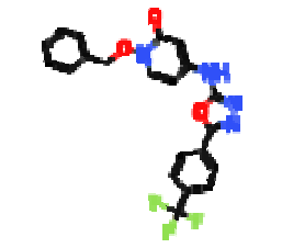 O=c1cc(Nc2nnc(-c3ccc(C(F)(F)F)cc3)o2)ccn1OCc1ccccc1